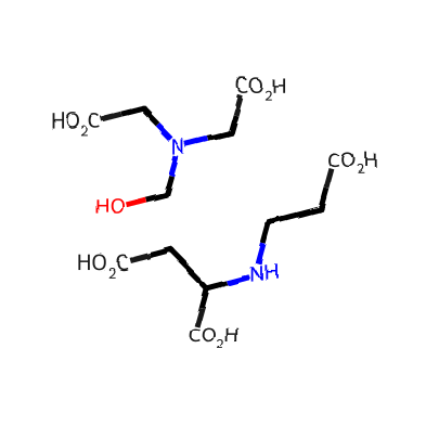 O=C(O)CCNC(CC(=O)O)C(=O)O.O=C(O)CN(CO)CC(=O)O